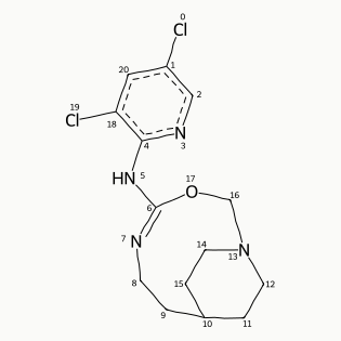 Clc1cnc(N/C2=N/CCC3CCN(CC3)CO2)c(Cl)c1